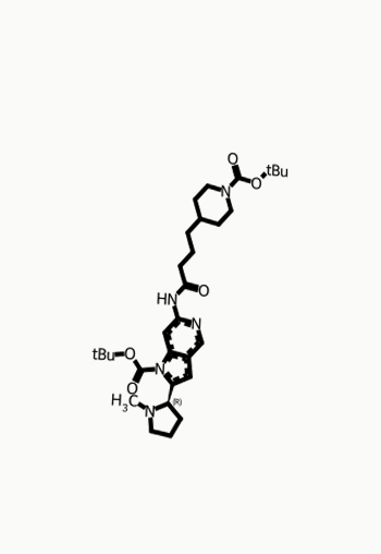 CN1CCC[C@@H]1c1cc2cnc(NC(=O)CCCC3CCN(C(=O)OC(C)(C)C)CC3)cc2n1C(=O)OC(C)(C)C